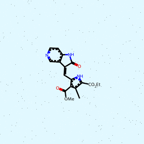 CCOC(=O)c1[nH]c(C=C2C(=O)Nc3ccncc32)c(C(=O)OC)c1C